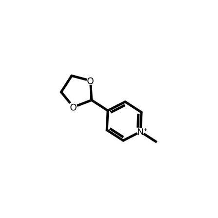 C[n+]1ccc(C2OCCO2)cc1